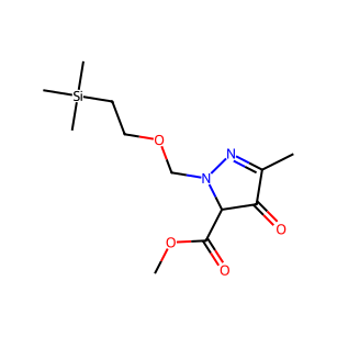 COC(=O)C1C(=O)C(C)=NN1COCC[Si](C)(C)C